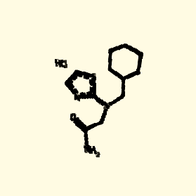 Cl.NC(=O)CN(CC1CCCCC1)c1nccs1